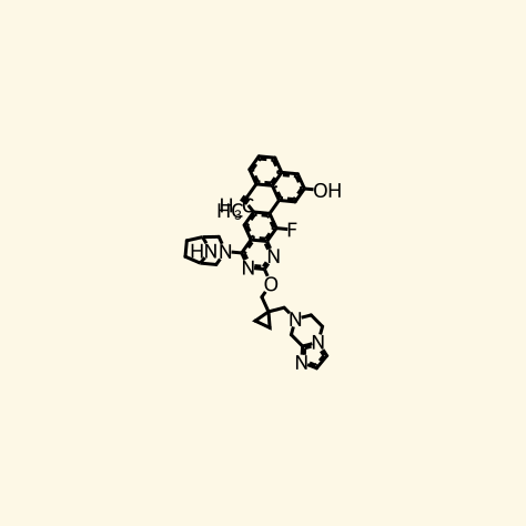 C#Cc1cccc2cc(O)cc(-c3c(C)cc4c(N5CC6CCC(C5)N6)nc(OCC5(CN6CCn7ccnc7C6)CC5)nc4c3F)c12